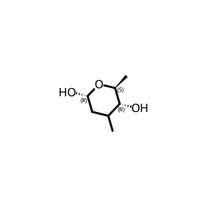 CC1C[C@H](O)O[C@@H](C)[C@@H]1O